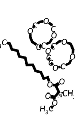 C1COCCOCCOCCO1.C1COCCOCCOCCO1.CCCCCCCCCCCCOC(=O)[C@H](C)C(=O)OC